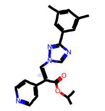 Cc1cc(C)cc(-c2ncn(/C=C(\C(=O)OC(C)C)c3ccncc3)n2)c1